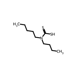 CCCCCN(CCCC)C(=S)S